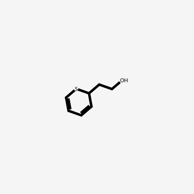 OCCC1C=CC=CS1